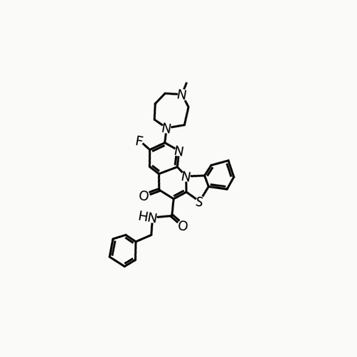 CN1CCCN(c2nc3c(cc2F)c(=O)c(C(=O)NCc2ccccc2)c2sc4ccccc4n23)CC1